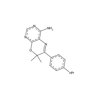 CCCc1ccc(C2=Nc3c(N)ncnc3OC2(C)C)cc1